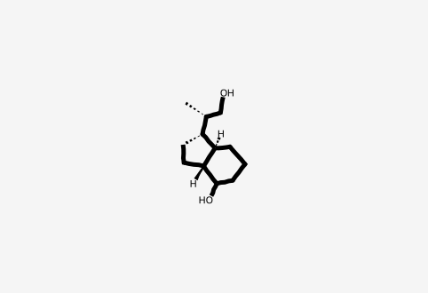 C[C@H](CO)[C@H]1CC[C@H]2C(O)CCC[C@H]12